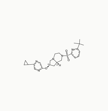 CC(C)(C)c1cccc(S(=O)(=O)N2CCN3C[C@H](Oc4cnc(C5CC5)cn4)C[C@H]3C2)n1